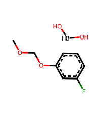 COCOc1cccc(F)c1.OBO